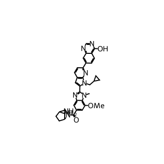 COc1cc(C(=O)N2CC3CCC2[C@@H]3N)cc2nc(-c3cc4ccc(-c5ccc6c(O)ncnc6c5)nc4n3CC3CC3)n(C)c12